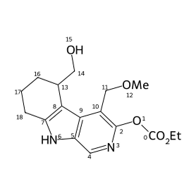 CCOC(=O)Oc1ncc2[nH]c3c(c2c1COC)C(CO)CCC3